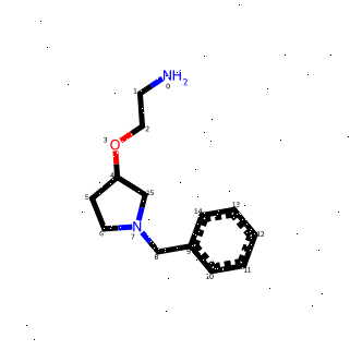 NCCOC1CCN(Cc2ccccc2)C1